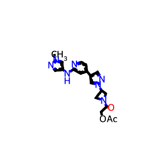 CC(=O)OCC(=O)N1CC(n2cc(-c3ccnc(Nc4cnn(C)c4)c3)cn2)C1